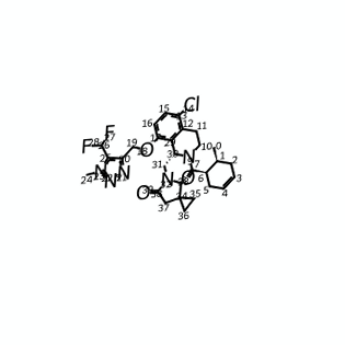 C[C@H]1CC=CC[C@H]1C(=O)N1CCc2c(Cl)ccc(OCc3nnn(C)c3C(F)F)c2[C@H]1CN1CC2(CC2)CC1=O